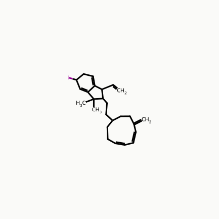 C=CC1C2=CCC(I)C=C2C(C)(C)C1CCC1CC/C=C\C=C/C(=C)CC1